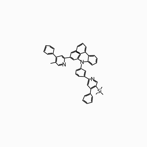 Cc1cnc(-c2cccc(N(c3cccc(-c4cc(-c5ccccc5)c([Si](C)(C)C)cn4)c3)c3ccccc3-c3ccccc3)c2)cc1-c1ccccc1